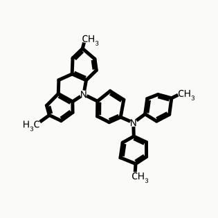 Cc1ccc(N(c2ccc(C)cc2)c2ccc(N3c4ccc(C)cc4Cc4cc(C)ccc43)cc2)cc1